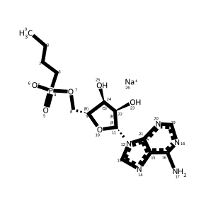 CCCCP(=O)([O-])OC[C@H]1O[C@@H](n2cnc3c(N)ncnc32)[C@H](O)[C@@H]1O.[Na+]